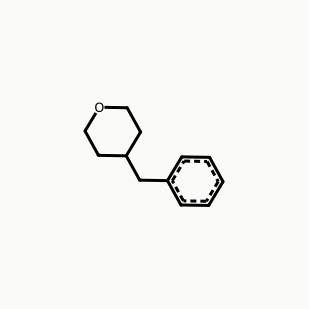 c1ccc(CC2CCOCC2)cc1